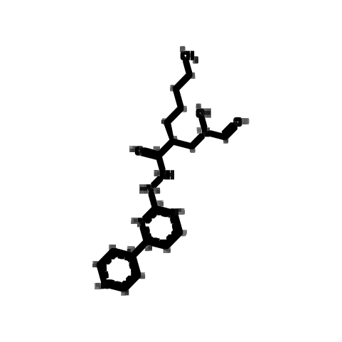 CCCCC[C@@H](CN(O)C=O)C(=O)NNc1nccc(-c2ccncc2)n1